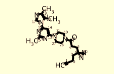 C#CCCC1(CCC(=O)N2CCN(c3cc(-n4cnc(C)c4C)nc(C)n3)CC2)N=N1